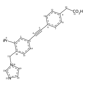 CC(C)c1cc(C#Cc2ccc(CC(=O)O)cc2)ccc1Cn1ccnc1